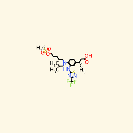 CC(C)CN(CCCCCOS(C)(=O)=O)c1ccc([C@H](C)CC(=O)O)cc1Nc1nc(C(F)(F)F)ns1